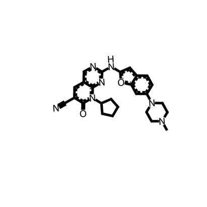 CN1CCN(c2ccc3cc(Nc4ncc5cc(C#N)c(=O)n(C6CCCC6)c5n4)oc3c2)CC1